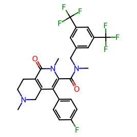 CN1CCc2c(c(-c3ccc(F)cc3)c(C(=O)N(C)Cc3cc(C(F)(F)F)cc(C(F)(F)F)c3)n(C)c2=O)C1